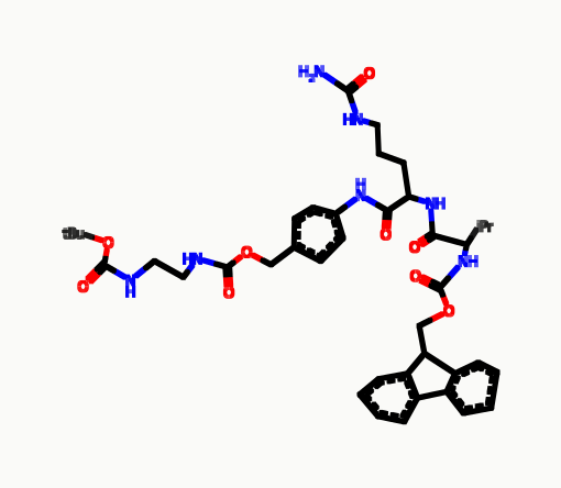 CC(C)C(NC(=O)OCC1c2ccccc2-c2ccccc21)C(=O)NC(CCCNC(N)=O)C(=O)Nc1ccc(COC(=O)NCCNC(=O)OC(C)(C)C)cc1